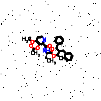 CC[C@H](NC(=O)c1nccc(OC)c1OC(C)=O)C(=O)OC(C)C(Cc1ccccc1)Cc1ccccc1